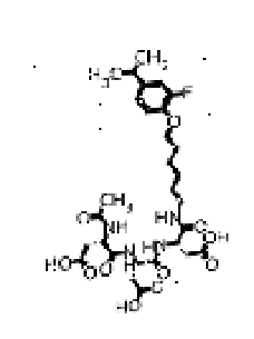 CC(=O)N[C@@H](CC(=O)O)C(=O)N[C@@H](CC(=O)O)C(=O)N[C@@H](CC(=O)O)C(=O)NCCCCCCOc1ccc(C(C)C)cc1F